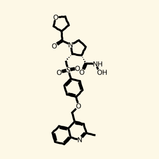 Cc1cc(COc2ccc(S(=O)(=O)C[C@H]3[C@@H](C(=O)NO)CCN3C(=O)C3CCOC3)cc2)c2ccccc2n1